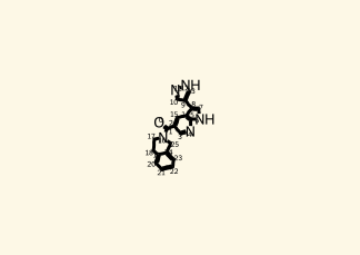 O=C(c1cnc2[nH]cc(-c3cn[nH]c3)c2c1)N1CCc2ccccc2C1